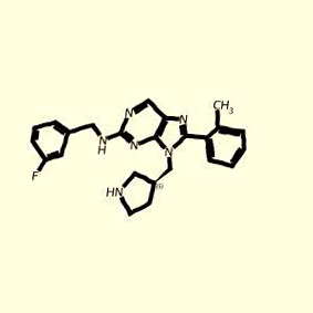 Cc1ccccc1-c1nc2cnc(NCc3cccc(F)c3)nc2n1C[C@H]1CCNC1